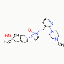 CN1CCN(c2ncccc2CCn2ccn(-c3ccc(CC(C)(C)O)cc3)c2=O)CC1